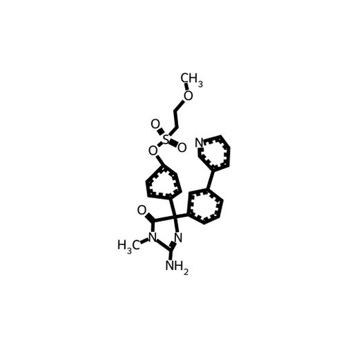 COCCS(=O)(=O)Oc1ccc(C2(c3cccc(-c4cccnc4)c3)N=C(N)N(C)C2=O)cc1